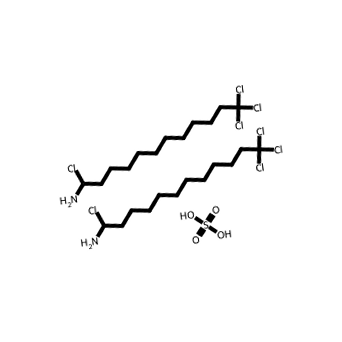 NC(Cl)CCCCCCCCCCC(Cl)(Cl)Cl.NC(Cl)CCCCCCCCCCC(Cl)(Cl)Cl.O=S(=O)(O)O